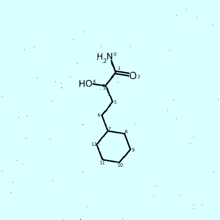 NC(=O)C(O)CCC1CCCCC1